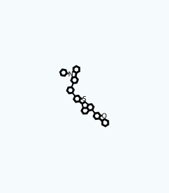 c1ccc(-n2c3ccccc3c3ccc(-c4cccc(-c5ccc6c7c(sc6c5)-c5ccc(-c6ccc8c(c6)oc6ccccc68)c6cccc-7c56)c4)cc32)cc1